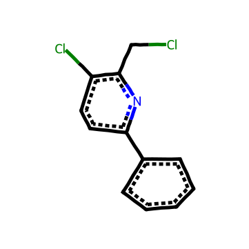 ClCc1nc(-c2ccccc2)ccc1Cl